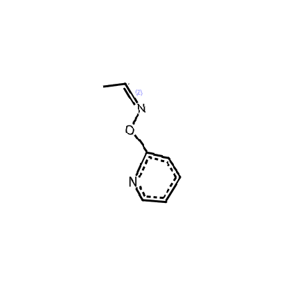 C/[C]=N\Oc1ccccn1